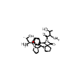 CC(O)C(N)C(=O)N1C(=O)C2(CCCN2C(=O)C2CCCN2C(=O)C(N)[C@H](C)O)C1c1ccccc1